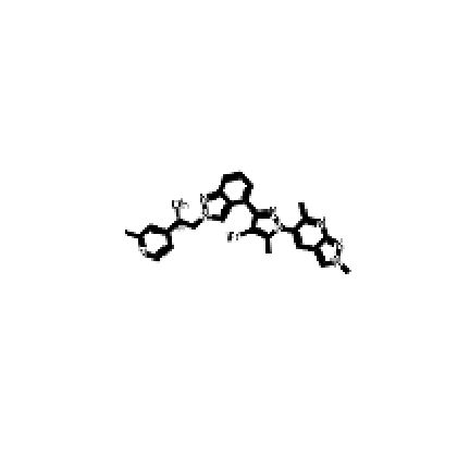 Cc1cc([C@@H](O)Cn2cc3c(-c4nn(-c5cc6cn(C)nc6nc5C)c(C)c4C(C)C)cccc3n2)ccn1